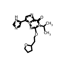 CC(C)n1c(OCCC2CCCO2)nn2c(-c3cnc[nH]3)cnc2c1=O